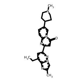 CCc1cc(-c2cc(=O)n3cc(C4CCN(C)CC4)ccc3n2)nn2cc(C)nc12